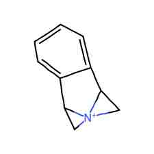 c1ccc2c(c1)C1C[N+]13CC23